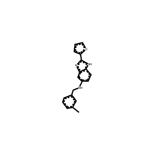 Cc1cccc(CNc2ccc3[nH]c(-c4ccco4)nc3c2)c1